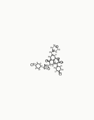 O=C(NCc1ccc(Cl)cc1)c1cn(C(c2ccc(Cl)cc2)=S(=O)=O)c2ccc(CN3CCOCC3)cc2c1=O